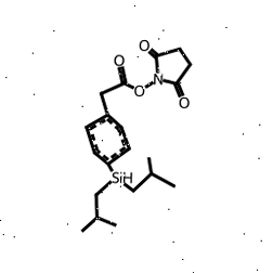 CC(C)C[SiH](CC(C)C)c1ccc(CC(=O)ON2C(=O)CCC2=O)cc1